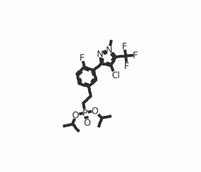 CC(C)OP(=O)(CCc1ccc(F)c(-c2nn(C)c(C(F)(F)F)c2Cl)c1)OC(C)C